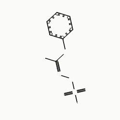 CCOC(=O)/C(=N/OS(=O)(=O)CC)Sc1ccccc1